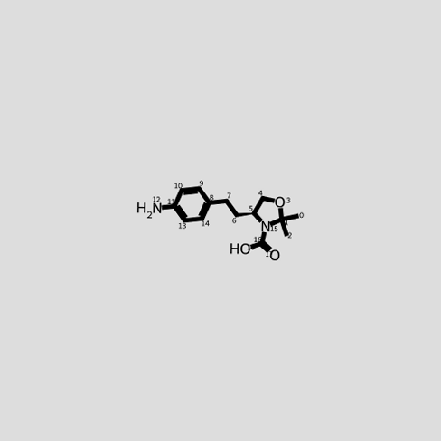 CC1(C)OC[C@H](CCc2ccc(N)cc2)N1C(=O)O